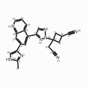 Cc1nc(-c2cc(-c3cnn(C4(CC#N)CC(C#N)C4)n3)c3cccnc3c2)c[nH]1